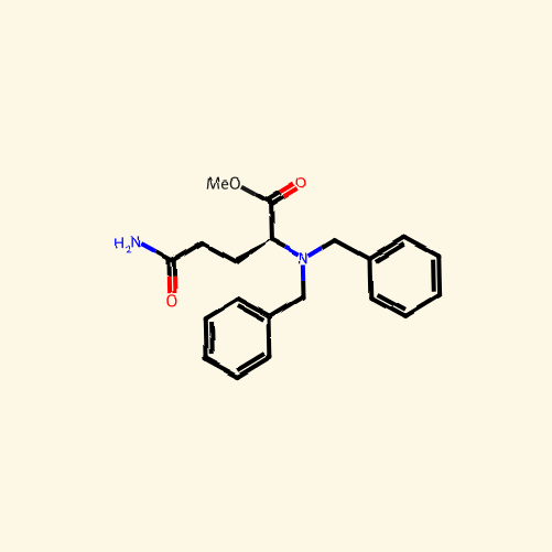 COC(=O)[C@H](CCC(N)=O)N(Cc1ccccc1)Cc1ccccc1